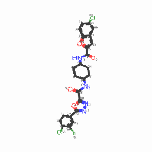 O=C(NC1CCC(NC(=O)c2nnc(-c3ccc(Cl)c(F)c3)o2)CC1)c1cc2cc(Cl)ccc2o1